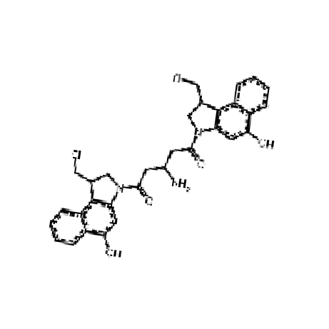 NC(CC(=O)N1CC(CCl)c2c1cc(O)c1ccccc21)CC(=O)N1CC(CCl)c2c1cc(O)c1ccccc21